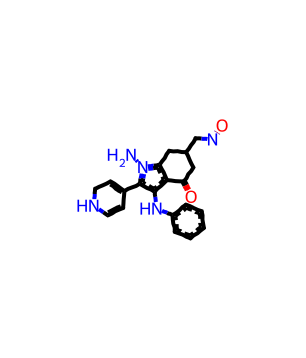 Nn1c2c(c(Nc3ccccc3)c1C1=CCNC=C1)C(=O)CC(CN=O)C2